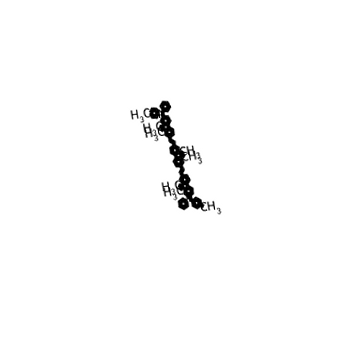 Cc1ccc(N(c2ccccc2)c2ccc3c(c2)C(C)(C)c2cc(/C=C/c4ccc5c(c4)C(C)(C)c4cc(/C=C/c6ccc7c(c6)C(C)(C)c6cc(N(c8ccccc8)c8ccc(C)cc8)ccc6-7)ccc4-5)ccc2-3)cc1